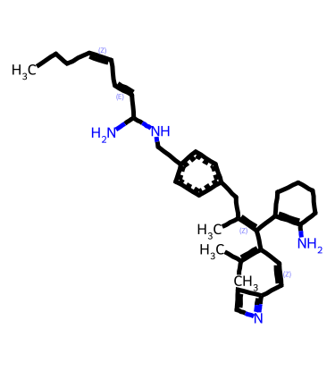 CCC/C=C\C=C\C(N)NCc1ccc(C/C(C)=C(/C(/C=C\C2=NC=C2)=C(C)C)C2=C(N)CCCC2)cc1